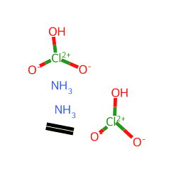 C=C.N.N.[O-][Cl+2]([O-])O.[O-][Cl+2]([O-])O